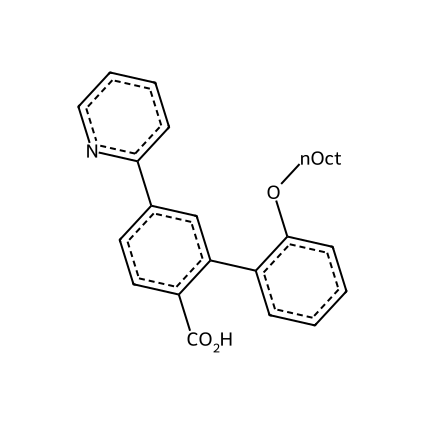 CCCCCCCCOc1ccccc1-c1cc(-c2ccccn2)ccc1C(=O)O